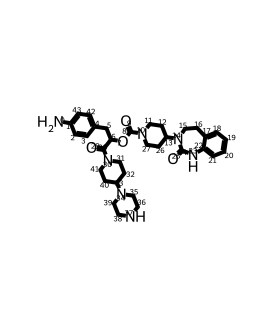 Nc1ccc(CC(OC(=O)N2CCC(N3CCc4ccccc4NC3=O)CC2)C(=O)N2CCC(N3CCNCC3)CC2)cc1